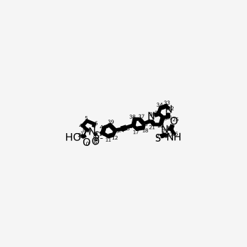 O=C(O)[C@H]1CCCN1[S+]([O-])c1ccc(C#Cc2ccc(-c3cc(N4C(=O)CNC4=S)c4cnccc4n3)cc2)cc1